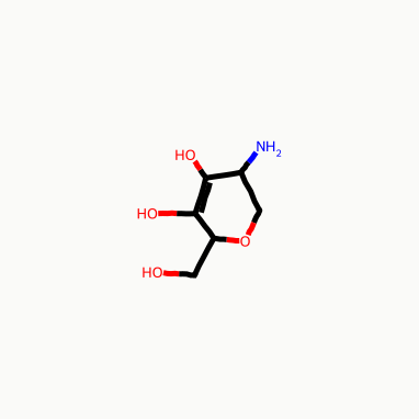 NC1COC(CO)C(O)=C1O